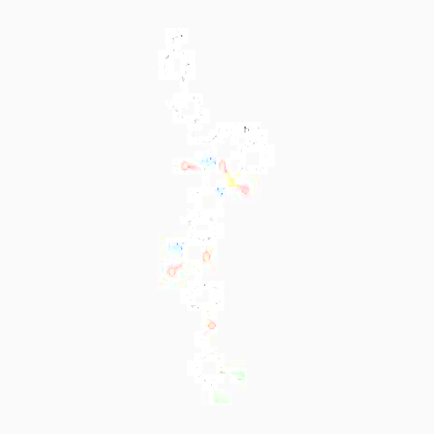 N#Cc1ccc(-c2ccc(C[C@H](NC(=O)C3Cc4cc5c(cc4CN3S(=O)(=O)c3cccc([N+](=O)[O-])c3)OC(c3ccc(OCc4ccc(Cl)c(Cl)c4)cc3)C(=O)N5)C(=O)O)cc2)cc1